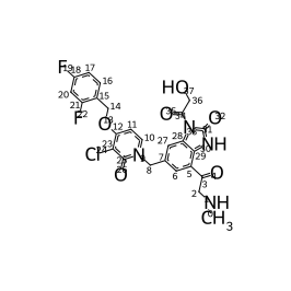 CNCC(=O)c1cc(Cn2ccc(OCc3ccc(F)cc3F)c(Cl)c2=O)cc2c1[nH]c(=O)n2C(=O)CO